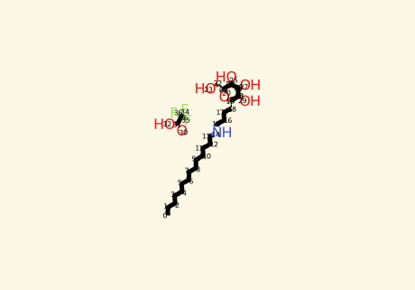 CCCCCCCCCCCCCCNCCCC[C@@H]1O[C@H](CO)[C@@H](O)[C@H](O)[C@H]1O.O=C(O)C(F)(F)F